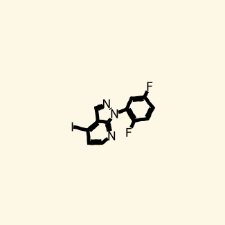 Fc1ccc(F)c(-n2ncc3c(I)ccnc32)c1